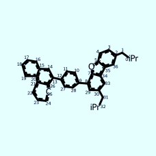 CC(C)Cc1ccc2oc3c(-c4ccc(-c5cc6ccccc6c6ccccc56)cc4)cc(CC(C)C)cc3c2c1